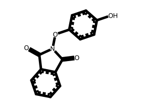 O=C1c2ccccc2C(=O)N1Oc1ccc(O)cc1